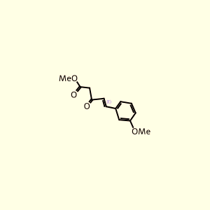 COC(=O)CC(=O)/C=C/c1cccc(OC)c1